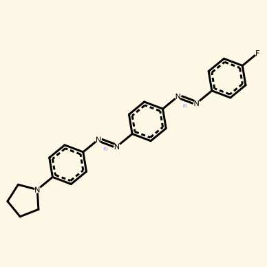 Fc1ccc(/N=N/c2ccc(/N=N/c3ccc(N4CCCC4)cc3)cc2)cc1